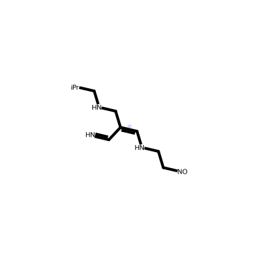 CC(C)CNC/C(C=N)=C/NCCN=O